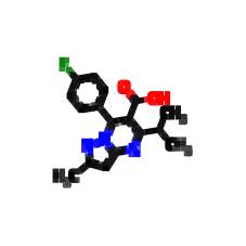 Cc1cc2nc(C(C)C)c(C(=O)O)c(-c3ccc(F)cc3)n2n1